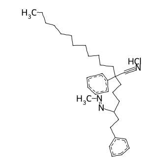 CCCCCCCCCCCCC(C#N)(CCCC(CCc1ccccc1)N=NC)c1ccccc1.Cl